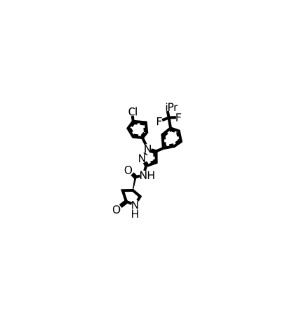 CC(C)C(F)(F)c1cccc(-c2cc(NC(=O)[C@H]3CNC(=O)C3)nn2-c2ccc(Cl)cc2)c1